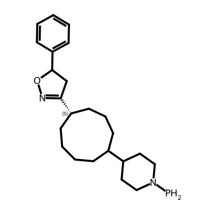 PN1CCC(C2CCCC[C@H](C3=NOC(c4ccccc4)C3)CCC2)CC1